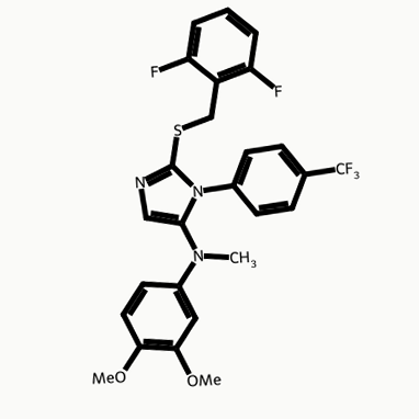 COc1ccc(N(C)c2cnc(SCc3c(F)cccc3F)n2-c2ccc(C(F)(F)F)cc2)cc1OC